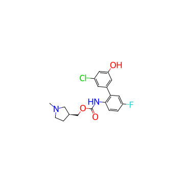 CN1CC[C@H](COC(=O)Nc2ccc(F)cc2-c2cc(O)cc(Cl)c2)C1